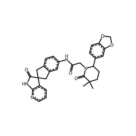 CC1(C)CCC(c2ccc3c(c2)OCO3)N(CC(=O)Nc2ccc3c(c2)CC2(C3)C(=O)Nc3ncccc32)C1=O